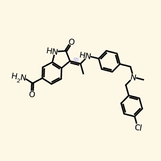 C/C(Nc1ccc(CN(C)Cc2ccc(Cl)cc2)cc1)=C1/C(=O)Nc2cc(C(N)=O)ccc21